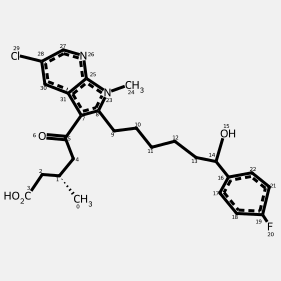 C[C@H](CC(=O)O)CC(=O)c1c(CCCCCC(O)c2ccc(F)cc2)n(C)c2ncc(Cl)cc12